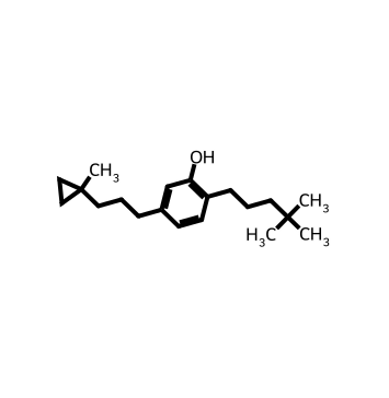 CC(C)(C)CCCc1ccc(CCCC2(C)CC2)cc1O